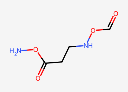 NOC(=O)CCNOC=O